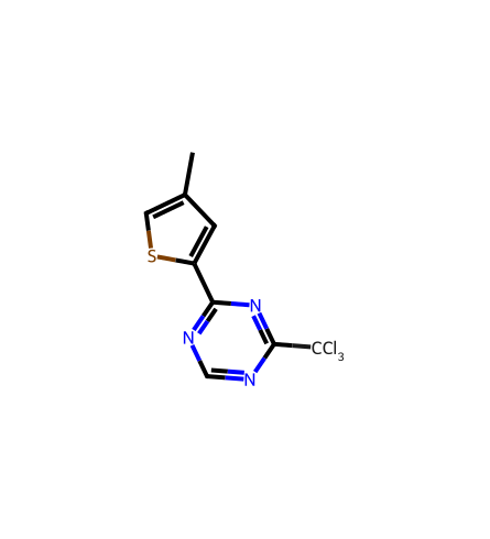 Cc1csc(-c2ncnc(C(Cl)(Cl)Cl)n2)c1